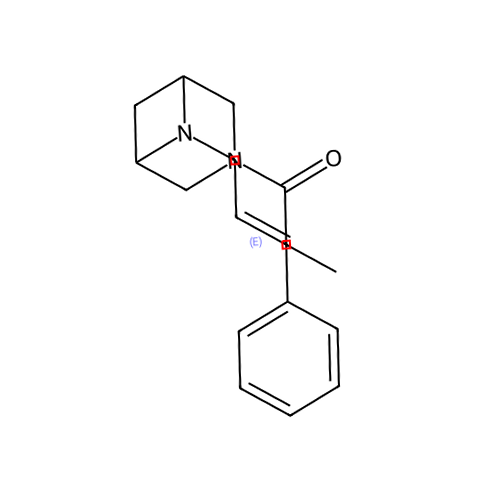 CCC(=O)N1CC2CC(C1)N2C/C=C/c1ccccc1